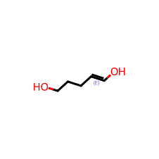 O/C=C/CCCO